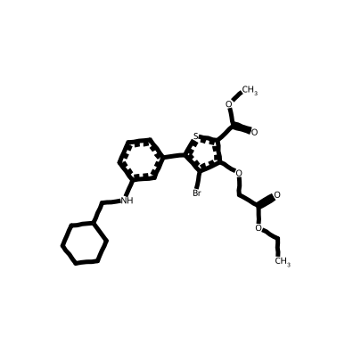 CCOC(=O)COc1c(C(=O)OC)sc(-c2cccc(NCC3CCCCC3)c2)c1Br